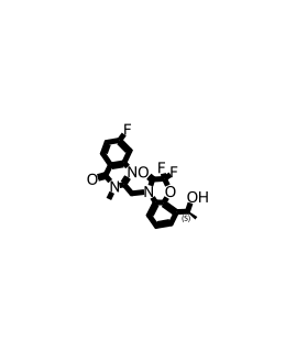 C[C@H](O)c1cccc2c1OC(F)(F)C(=O)N2Cc1nc2cc(F)ccc2c(=O)n1C